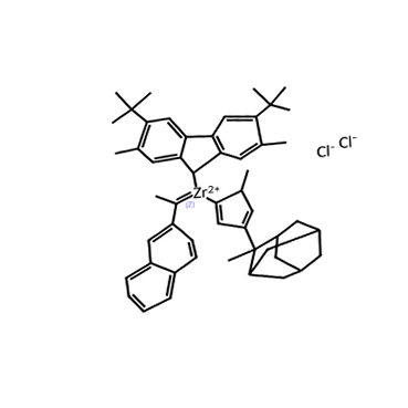 C/[C](c1ccc2ccccc2c1)=[Zr+2](/[C]1=CC(C2(C)C3CC4CC(C3)CC2C4)=CC1C)[CH]1c2cc(C)c(C(C)(C)C)cc2-c2cc(C(C)(C)C)c(C)cc21.[Cl-].[Cl-]